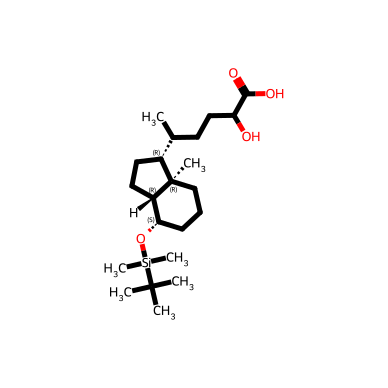 CC(CCC(O)C(=O)O)[C@H]1CC[C@H]2[C@@H](O[Si](C)(C)C(C)(C)C)CCC[C@]12C